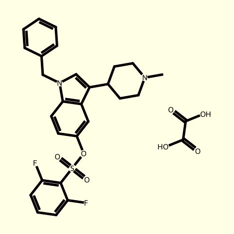 CN1CCC(c2cn(Cc3ccccc3)c3ccc(OS(=O)(=O)c4c(F)cccc4F)cc23)CC1.O=C(O)C(=O)O